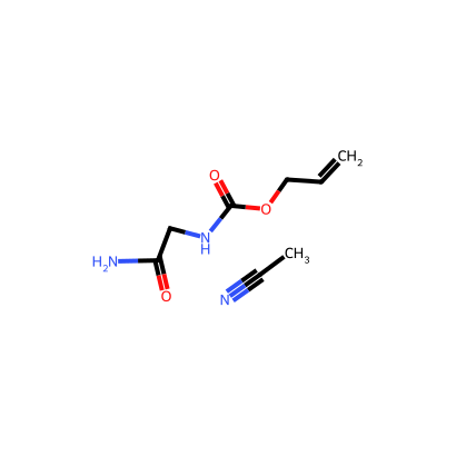 C=CCOC(=O)NCC(N)=O.CC#N